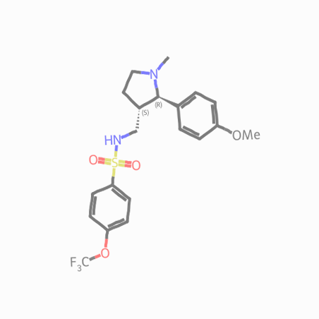 COc1ccc([C@H]2[C@H](CNS(=O)(=O)c3ccc(OC(F)(F)F)cc3)CCN2C)cc1